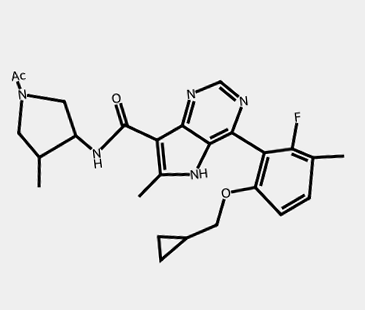 CC(=O)N1CC(C)C(NC(=O)c2c(C)[nH]c3c(-c4c(OCC5CC5)ccc(C)c4F)ncnc23)C1